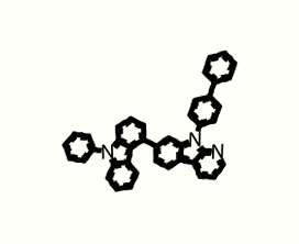 c1ccc(-c2ccc(-n3c4cc(-c5cccc6c5c5ccccc5n6-c5ccccc5)ccc4c4cccnc43)cc2)cc1